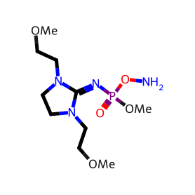 COCCN1CCN(CCOC)C1=NP(=O)(OC)ON